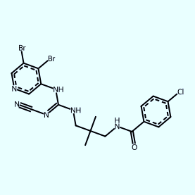 CC(C)(CNC(=O)c1ccc(Cl)cc1)CNC(=NC#N)Nc1cncc(Br)c1Br